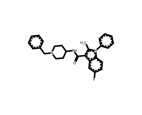 Cc1c(C(=O)NC2CCN(Cc3ccccc3)CC2)c2cc(F)ccc2n1-c1ccccc1